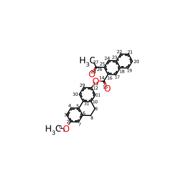 COc1ccc2c(c1)CCc1cc(OC(=O)c3cc4ccccc4cc3C(C)=O)ccc1-2